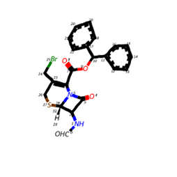 O=CNC1C(=O)N2C(C(=O)OC(c3ccccc3)c3ccccc3)=C(CBr)CS[C@@H]12